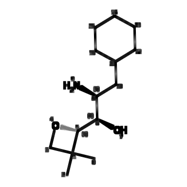 CC1(C)CO[C@@H]1[C@H](O)[C@@H](N)CC1CCCCC1